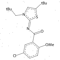 COc1ccc(Cl)cc1C(=O)/N=c1\sc(C(C)(C)C)cn1CC(C)(C)C